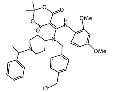 COc1ccc(NC(=C2C(=O)OC(C)(C)OC2=O)N(Cc2ccc(CC(C)C)cc2)C2CCN(C(C)c3ccccc3)CC2)c(OC)c1